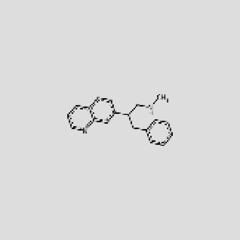 CNCC(Cc1ccccc1)c1ccc2cccnc2c1